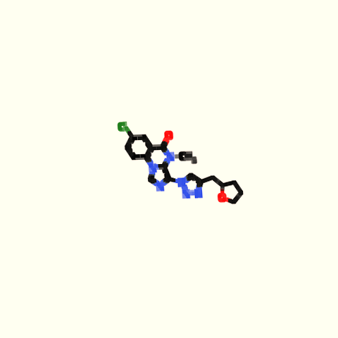 Cn1c(=O)c2cc(Cl)ccc2n2cnc(-n3cc(CC4CCCO4)nn3)c12